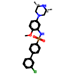 COc1ccc(N2C[C@@H](C)N[C@@H](C)C2)cc1NS(=O)(=O)c1ccc(-c2cccc(Cl)c2)cc1